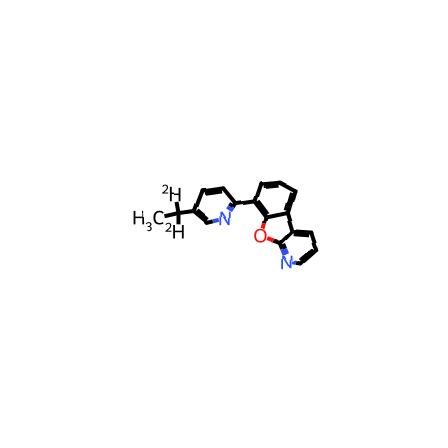 [2H]C([2H])(C)c1ccc(-c2cccc3c2oc2ncccc23)nc1